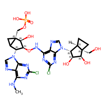 CNc1nc(Cl)nc2c1ncn2[C@@H]1C2C[C@@]2(COP(=O)(O)O)[C@@H](O)[C@H]1ONc1nc(Cl)nc2c1ncn2[C@H]1[C@H](O)[C@H](O)[C@]2(CO)CC[C@H]12